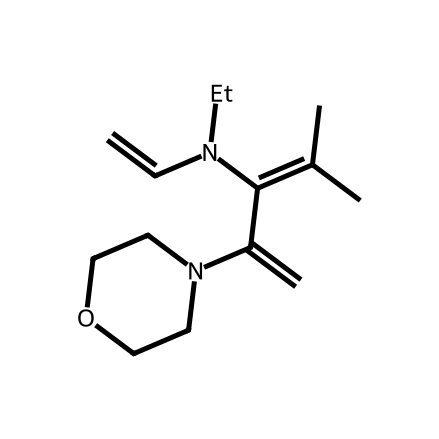 C=CN(CC)C(C(=C)N1CCOCC1)=C(C)C